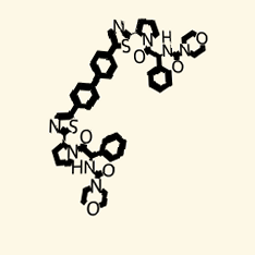 O=C(N[C@@H](C(=O)N1CCC[C@H]1c1ncc(-c2ccc(-c3ccc(-c4cnc([C@@H]5CCCN5C(=O)[C@H](NC(=O)N5CCOCC5)c5ccccc5)s4)cc3)cc2)s1)c1ccccc1)N1CCOCC1